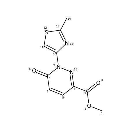 COC(=O)c1ccc(=O)n(-c2csc(C)n2)n1